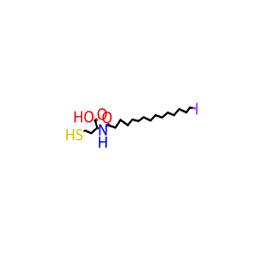 O=C(CCCCCCCCCCCCCCI)NC(CCS)C(=O)O